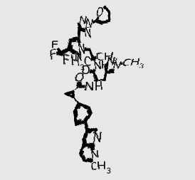 Cc1ccc2cc(-c3ccc([C@H]4C[C@@H]4C(=O)N[C@H](Cc4cnn(C)c4)C(=O)NC(C)(C)Cn4nc(C(F)(F)F)cc4-c4cnn(C5CCCCO5)n4)cc3)cnc2n1